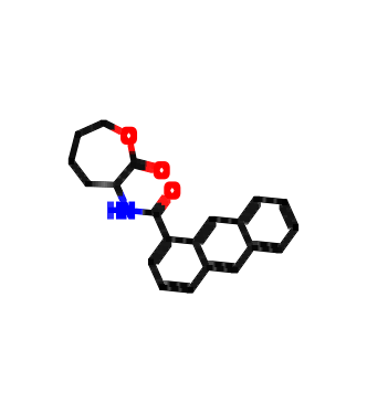 O=C(NC1CCCCOC1=O)c1cccc2cc3ccccc3cc12